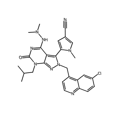 CC(C)Cn1c(=O)nc(NN(C)C)c2c(-c3cc(C#N)cn3C)n(Cc3ccnc4ccc(Cl)cc34)nc21